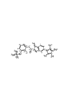 [2H]c1c([2H])c([2H])n(-c2ccc3c(c2)nc([S+]([O-])Cc2nccc(OC([2H])([2H])[2H])c2C)n3[2H])c1[2H]